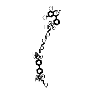 COCCNS(=O)(=O)c1ccc(-c2ccc(S(=O)(=O)NCCOCCOCCOCCNS(=O)(=O)c3cccc(C4CN(C)Cc5c(Cl)cc(Cl)cc54)c3)cc2)cc1